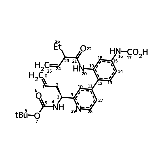 C=CC[C@H](NC(=O)OC(C)(C)C)c1cc(-c2ccc(NC(=O)O)cc2NC(=O)C(C=C)CC)ccn1